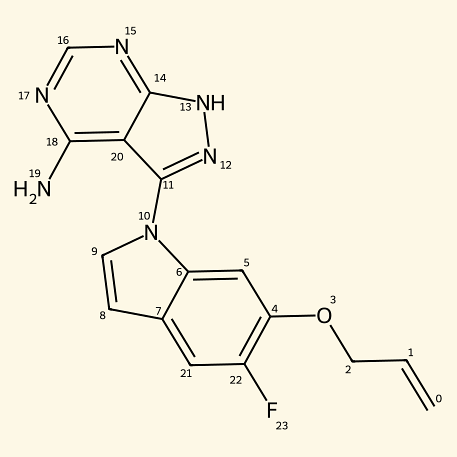 C=CCOc1cc2c(ccn2-c2n[nH]c3ncnc(N)c23)cc1F